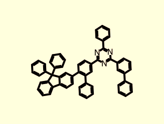 c1ccc(-c2cccc(-c3nc(-c4ccccc4)nc(-c4ccc(-c5ccc6c(c5)C(c5ccccc5)(c5ccccc5)c5ccccc5-6)c(-c5ccccc5)c4)n3)c2)cc1